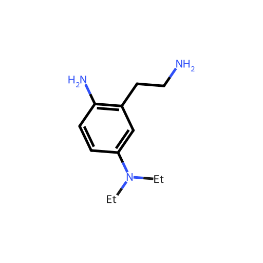 CCN(CC)c1ccc(N)c(CCN)c1